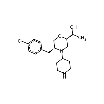 CC(O)[C@H]1CN(C2CCNCC2)[C@@H](Cc2ccc(Cl)cc2)CO1